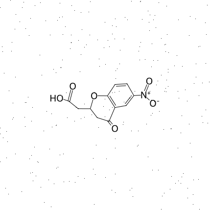 O=C(O)CC1CC(=O)c2cc([N+](=O)[O-])ccc2O1